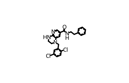 O=C(NCCc1ccccc1)c1cnc2c(c1)N(Cc1cc(Cl)ccc1Cl)CCN2